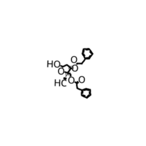 C#C[C@]1(COC(=O)Cc2ccccc2)OC(O)C[C@@H]1OC(=O)Cc1ccccc1